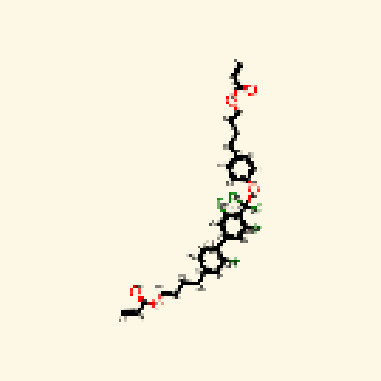 C=CC(=O)OCCCCc1ccc(OC(F)(F)c2c(F)cc(-c3ccc(CCCCOC(=O)C=C)cc3F)cc2F)cc1